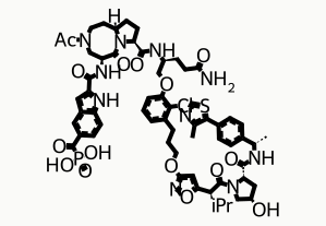 CC(=O)N1CC[C@H]2CC[C@@H](C(=O)N[C@@H](CCC(N)=O)COc3cccc(CCCOc4cc([C@H](C(=O)N5C[C@H](O)C[C@H]5C(=O)N[C@@H](C)c5ccc(-c6scnc6C)cc5)C(C)C)on4)c3Cl)N2C(=O)[C@@H](NC(=O)c2cc3cc(C(=O)P(=O)(O)O)ccc3[nH]2)C1